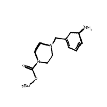 CC(C)(C)OC(=O)N1CCN(CC2=CC=CC(N)C2)CC1